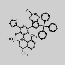 Cc1ccnc(C(C)CCC(=O)O)c1Nc1nc(-c2cn(C(c3ccccc3)(c3ccccc3)c3ccccc3)c3ncc(Cl)nc23)nc(-c2cccs2)c1F